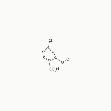 O=C(O)c1ccc(Cl)cc1OCl